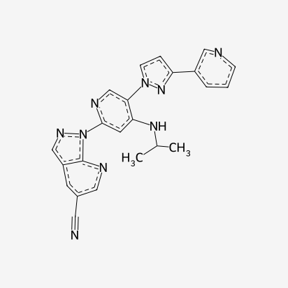 CC(C)Nc1cc(-n2ncc3cc(C#N)cnc32)ncc1-n1ccc(-c2cccnc2)n1